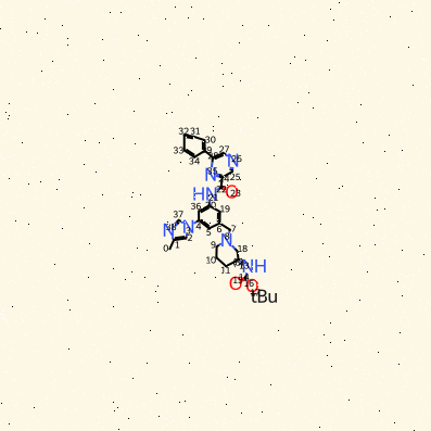 Cc1cn(-c2cc(CN3CCC[C@H](NC(=O)OC(C)(C)C)C3)cc(NC(=O)c3cncc(-c4ccccc4)n3)c2)cn1